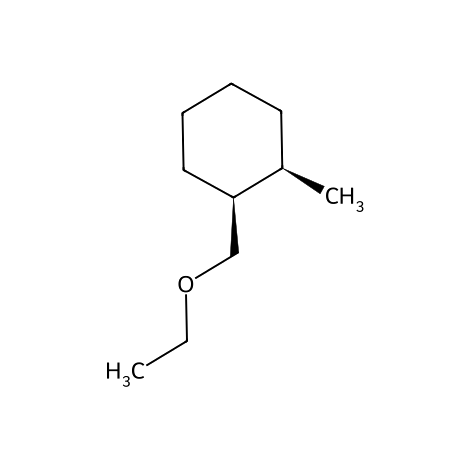 CCOC[C@H]1CCCC[C@H]1C